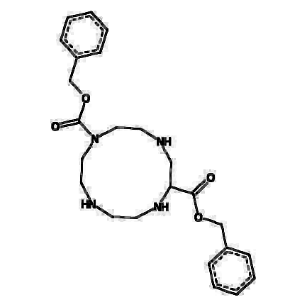 O=C(OCc1ccccc1)C1CNCCN(C(=O)OCc2ccccc2)CCNCCN1